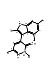 Cc1cc(C)c2c(-c3[c]c(C)nn(C)c3=O)c(C)oc2c1